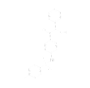 Cc1ccc(S(=O)(=O)Nc2ccc(C(=O)C(O)c3ccccc3)cc2)cc1